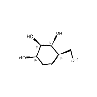 OC[C@H]1CC[C@@H](O)[C@@H](O)[C@H]1O